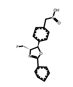 O=S(O)Cc1ccc([C@H]2OC(c3ccccc3)=N[C@@H]2CF)cc1